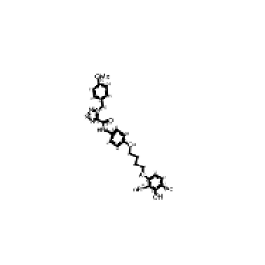 CCCc1c(OCCCCOc2ccc(NC(=O)c3nnnn3Cc3ccc(OC)cc3)cc2)ccc(C(C)=O)c1O